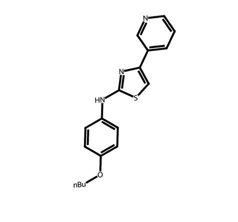 CCCCOc1ccc(Nc2nc(-c3cccnc3)cs2)cc1